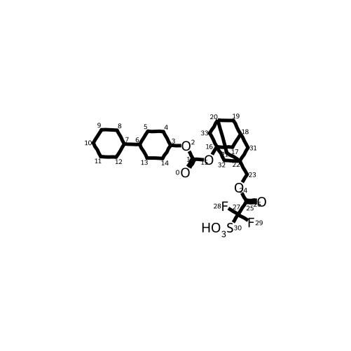 O=C(OC1CCC(C2CCCCC2)CC1)OC12CC3CC(CC(COC(=O)C(F)(F)S(=O)(=O)O)(C3)C1)C2